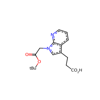 CC(C)(C)OC(=O)Cn1cc(CCC(=O)O)c2cccnc21